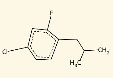 [CH2]C(C)Cc1ccc(Cl)cc1F